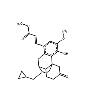 COC(=O)/C=C/c1cc(OC)c(O)c2c1CC1C3CCC(=O)CC23CCN1CC1CC1